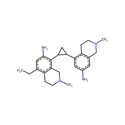 CCc1cc(N)c(C2CC2c2cc(N)cc3c2CCN(C)C3)c2c1CCN(C)C2